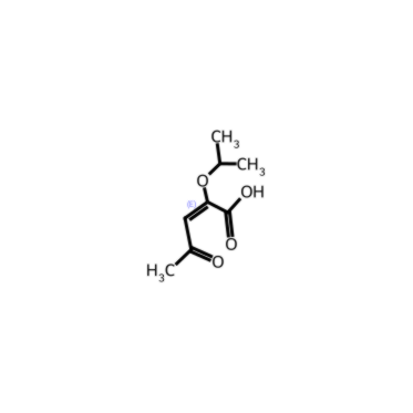 CC(=O)/C=C(/OC(C)C)C(=O)O